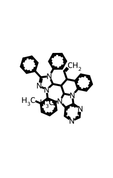 C=CC1c2ccccc2N2c3ncncc3N(C)C2C1C1N(c2ccccc2C)N=C(c2ccccc2)N1c1ccccc1